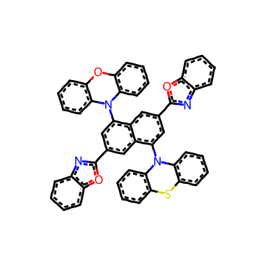 c1ccc2c(c1)Oc1ccccc1N2c1cc(-c2nc3ccccc3o2)cc2c(N3c4ccccc4Sc4ccccc43)cc(-c3nc4ccccc4o3)cc12